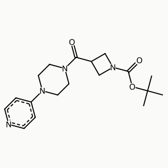 CC(C)(C)OC(=O)N1CC(C(=O)N2CCN(c3ccncc3)CC2)C1